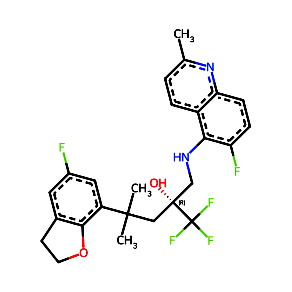 Cc1ccc2c(NC[C@](O)(CC(C)(C)c3cc(F)cc4c3OCC4)C(F)(F)F)c(F)ccc2n1